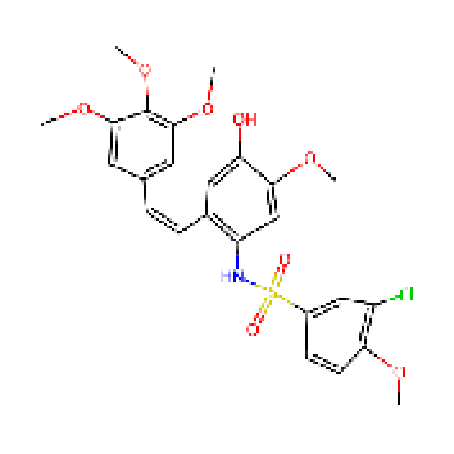 COc1cc(NS(=O)(=O)c2ccc(OC)c(Cl)c2)c(/C=C\c2cc(OC)c(OC)c(OC)c2)cc1O